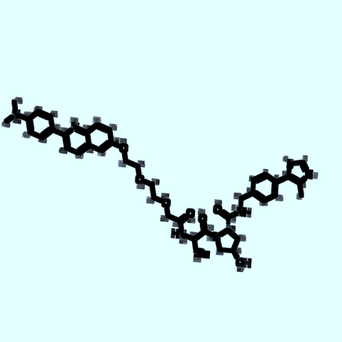 Cc1ncsc1-c1ccc(CNC(=O)[C@@H]2C[C@@H](O)CN2C(=O)C(NC(=O)COCCOCCOc2ccc3nc(-c4ccc(N(C)C)cc4)ccc3c2)C(C)(C)C)cc1